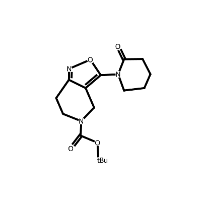 CC(C)(C)OC(=O)N1CCc2noc(N3CCCCC3=O)c2C1